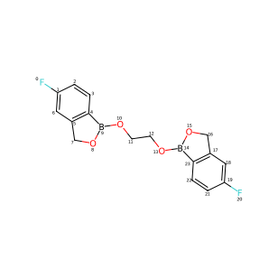 Fc1ccc2c(c1)COB2OCCOB1OCc2cc(F)ccc21